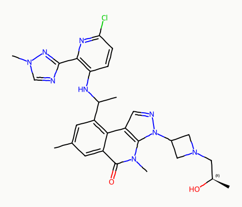 Cc1cc(C(C)Nc2ccc(Cl)nc2-c2ncn(C)n2)c2c(c1)c(=O)n(C)c1c2cnn1C1CN(C[C@@H](C)O)C1